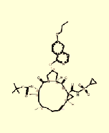 CCCOc1ccc2c(O[C@@H]3C[C@H]4C(=O)N[C@]5(C(=O)NS(=O)(=O)C6CC6)C[C@H]5/C=C\CC[C@H](C)C[C@@H](C)[C@H](NC(=O)OC(C)(C)C)C(=O)N4C3)nccc2c1